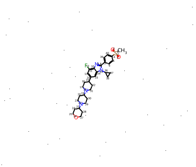 CS(=O)(=O)c1ccc(-c2nc3c(F)cc(C4CCN(C5CCN(C6CCOCC6)CC5)CC4)cc3n2C2CC2)cc1